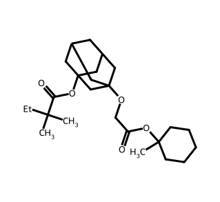 CCC(C)(C)C(=O)OC12CC3CC(CC(OCC(=O)OC4(C)CCCCC4)(C3)C1)C2